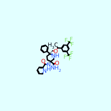 CC(OC[C@@]1(c2ccccc2)CC[C@@](NC(=O)c2ccccn2)(C(N)=O)CN1)c1cc(C(F)(F)F)cc(C(F)(F)F)c1